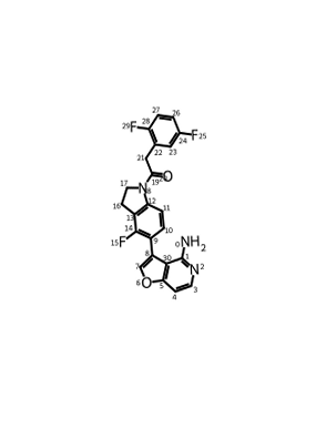 Nc1nccc2occ(-c3ccc4c(c3F)CCN4C(=O)Cc3cc(F)ccc3F)c12